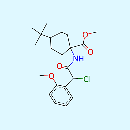 COC(=O)C1(NC(=O)C(Cl)c2ccccc2OC)CCC(C(C)(C)C)CC1